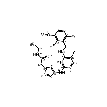 COc1ccc(F)c(CNc2nc(Nc3cnn(CC(=O)NCC(C)C)c3)ncc2Cl)c1F